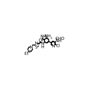 CCN1CCN(CC2=N[C@H]([C@@H](O)N[C@@H]3C=C(c4cnc(Cl)c(NC=O)c4)CC(N)C3CN)CS2)CC1